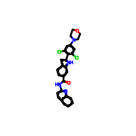 O=C(Nc1ccc2ccccc2n1)c1ccc2cc(-c3c(Cl)cc(N4CCOCC4)cc3Cl)[nH]c2c1